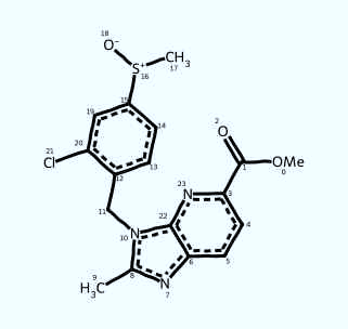 COC(=O)c1ccc2nc(C)n(Cc3ccc([S+](C)[O-])cc3Cl)c2n1